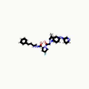 CC(=O)c1cn(CC(=O)N2C[C@H](F)C[C@H]2C(=O)NCCCCc2ccccc2)c2ccc(Nc3cccnc3)cc12